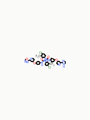 O=C(Nc1ccc(Oc2ccnc(C3=NCCN3)c2)cc1)N(c1ccc(Cl)c(C(F)(F)F)c1)N(C(=O)Nc1ccc(Oc2ccnc(-c3nnco3)c2)cc1)c1ccc(Cl)c(C(F)(F)F)c1